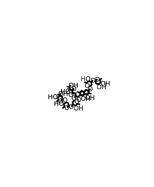 CO[C@H](C(=O)[C@@H](O)[C@@H](C)O)[C@@H]1Cc2cc3cc(OC4CC(OC5CC(O)C(O)C(C)O5)C(O)C(C)O4)c(C)c(O)c3c(O)c2C(=O)[C@H]1OC1CC(OC2CC(OC3CC(C)(O)C(O)C(C)O3)C(O)C(C)O2)C(O)C(C)O1